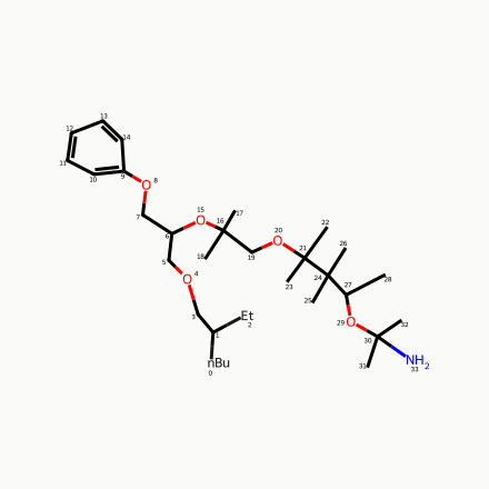 CCCCC(CC)COCC(COc1ccccc1)OC(C)(C)COC(C)(C)C(C)(C)C(C)OC(C)(C)N